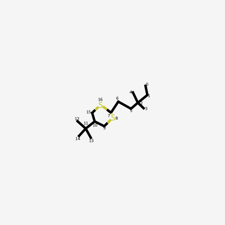 CCC(C)(C)CCC1SCC(C(C)(C)C)CS1